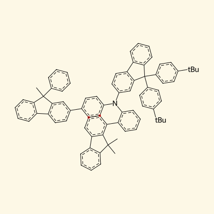 CC(C)(C)c1ccc(C2(c3ccc(C(C)(C)C)cc3)c3ccccc3-c3ccc(N(c4ccc(-c5ccc6c(c5)C(C)(c5ccccc5)c5ccccc5-6)cc4)c4ccccc4-c4cccc5c4C(C)(C)c4ccccc4-5)cc32)cc1